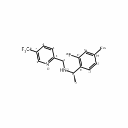 C[C@@H](NCc1ccc(C(F)(F)F)cn1)c1ccc(F)cc1F